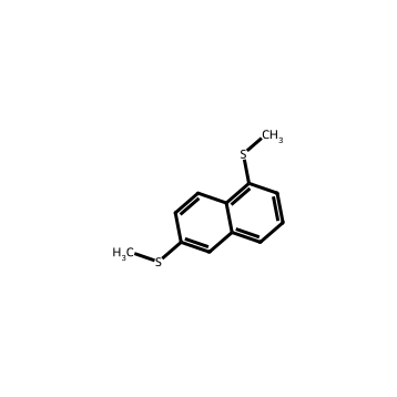 CSc1ccc2c(SC)cccc2c1